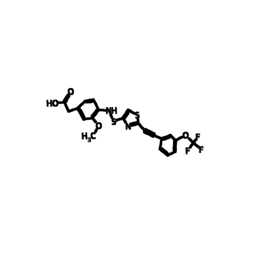 COc1cc(CC(=O)O)ccc1NSc1csc(C#Cc2cccc(OC(F)(F)F)c2)n1